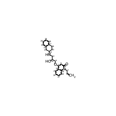 C=CCn1c(=O)cc(OCC(O)CNC2CCc3ccccc3C2)c2ccccc21